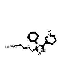 CCCCCCCCCCCCSSc1nnc(C2CCCNC2)n1C1CCCCC1